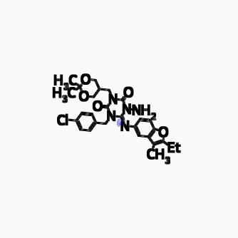 CCc1oc2ccc(/N=c3\n(N)c(=O)n(CC4COC(C)(C)OC4)c(=O)n3Cc3ccc(Cl)cc3)cc2c1C